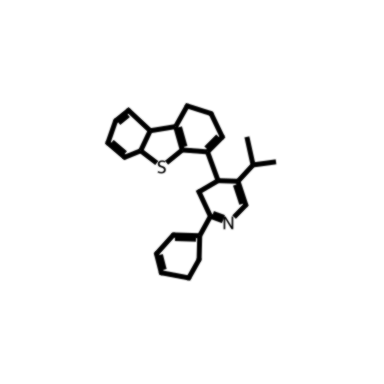 CC(C)C1=CN=C(C2=CC=CCC2)CC1C1=CCCC2=C1SC1C=CC=CC21